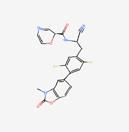 Cn1c(=O)oc2ccc(-c3cc(F)c(CC(C#N)NC(=O)[C@@H]4C=NC=CO4)cc3F)cc21